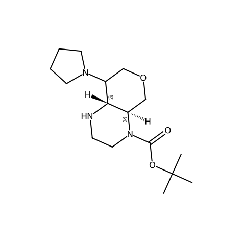 CC(C)(C)OC(=O)N1CCN[C@@H]2C(N3CCCC3)COC[C@H]21